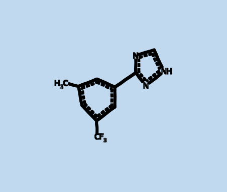 Cc1cc(-c2nc[nH]n2)cc(C(F)(F)F)c1